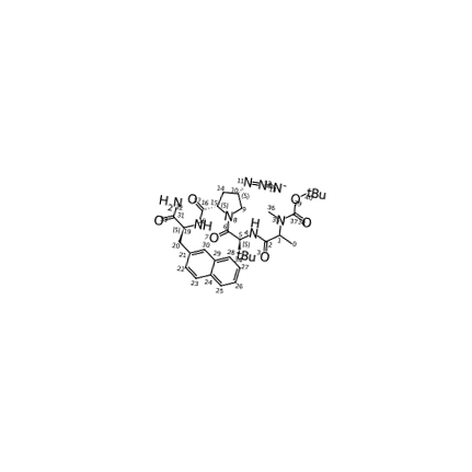 CC(C(=O)N[C@H](C(=O)N1C[C@@H](N=[N+]=[N-])C[C@H]1C(=O)N[C@@H](Cc1ccc2ccccc2c1)C(N)=O)C(C)(C)C)N(C)C(=O)OC(C)(C)C